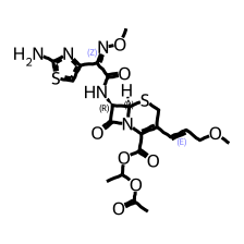 COC/C=C/C1=C(C(=O)OC(C)OC(C)=O)N2C(=O)[C@@H](NC(=O)/C(=N\OC)c3csc(N)n3)[C@H]2SC1